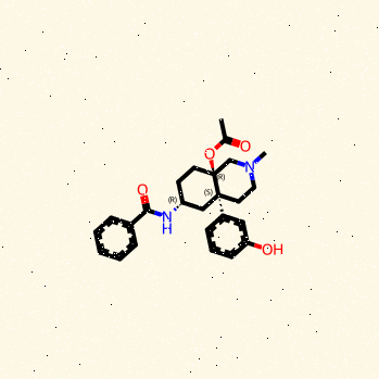 CC(=O)O[C@]12CC[C@@H](NC(=O)c3ccccc3)C[C@]1(c1cccc(O)c1)CCN(C)C2